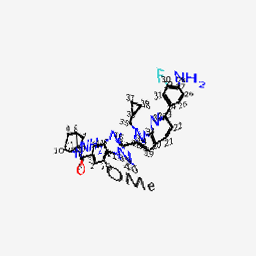 COc1cc(C(=O)N2CC3CCC2C3N)cc2nc(-c3cc4ccc(-c5ccc(N)c(F)c5)nc4n3CC3CC3)n(C)c12